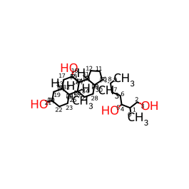 CC(CO)C(O)CCC(C)[C@H]1CC[C@H]2[C@@H]3[C@H](O)C[C@@H]4C[C@H](O)CC[C@]4(C)[C@H]3CC[C@]12C